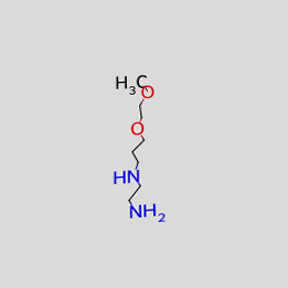 COCCOCCCNCCN